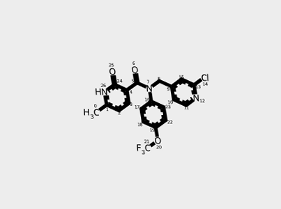 Cc1ccc(C(=O)N(Cc2ccnc(Cl)c2)c2ccc(OC(F)(F)F)cc2)c(=O)[nH]1